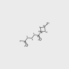 CC(=O)CCCC(=O)N1CC(I)C1